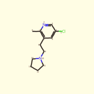 Cc1ncc(Cl)cc1CCN1CCCC1